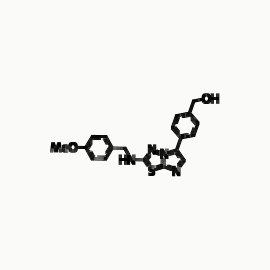 COc1ccc(CNc2nn3c(-c4ccc(CO)cc4)cnc3s2)cc1